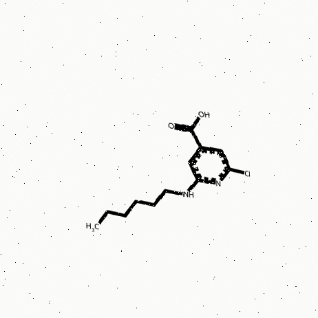 CCCCCCNc1cc(C(=O)O)cc(Cl)n1